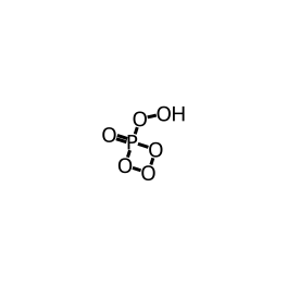 O=P1(OO)OOO1